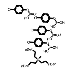 CCCCCCCCCCCC[N+](C)(CCCCCCCCCCCC)CCCCCCCCCCCC.OB(O)Oc1ccc(Cl)cc1.OB(O)Oc1ccc(Cl)cc1.OB(O)Oc1ccc(Cl)cc1.[O-]B(O)Oc1ccc(Cl)cc1